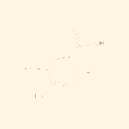 Cc1c(Cl)cc(C(=O)O)c(O)c1Cl